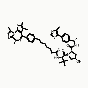 Cc1ncsc1-c1ccc([C@H](C)NC(=O)[C@@H]2C[C@@H](O)CN2C(=O)[C@@H](NC(=O)CCCCCCc2ccc(C3=N[C@@H](C)c4nnc(C)n4-c4sc(C)c(C)c43)cc2)C(C)(C)C)cc1